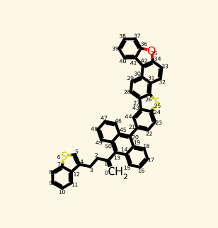 C=C(CCc1csc2ccccc12)c1c2ccccc2c(-c2ccc3sc4c(ccc5c4ccc4oc6ccccc6c45)c3c2)c2ccccc12